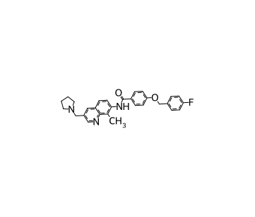 Cc1c(NC(=O)c2ccc(OCc3ccc(F)cc3)cc2)ccc2cc(CN3CCCC3)cnc12